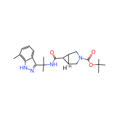 Cc1cccc2c(C(C)(C)NC(=O)C3C4CN(C(=O)OC(C)(C)C)C[C@H]43)n[nH]c12